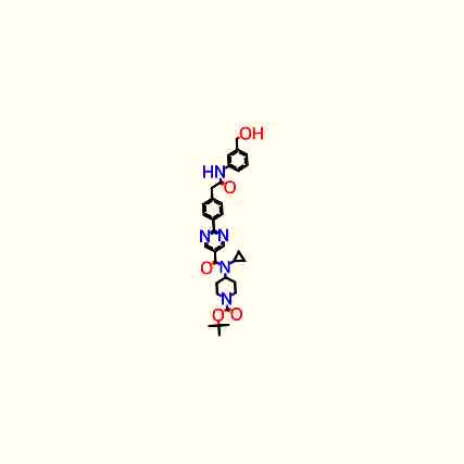 CC(C)(C)OC(=O)N1CCC(N(C(=O)c2cnc(-c3ccc(CC(=O)Nc4cccc(CO)c4)cc3)nc2)C2CC2)CC1